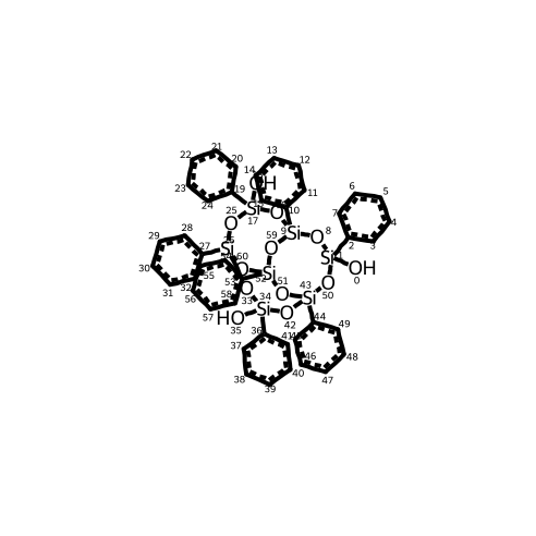 O[Si]1(c2ccccc2)O[Si]2(c3ccccc3)O[Si](O)(c3ccccc3)O[Si]3(c4ccccc4)O[Si](O)(c4ccccc4)O[Si](c4ccccc4)(O1)O[Si](c1ccccc1)(O2)O3